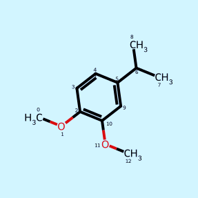 COc1c[c]c(C(C)C)cc1OC